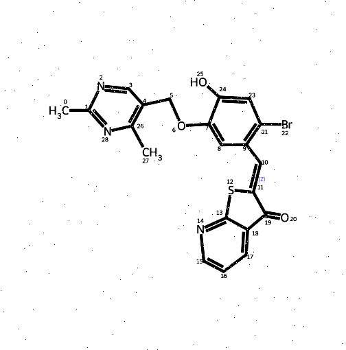 Cc1ncc(COc2cc(/C=C3\Sc4ncccc4C3=O)c(Br)cc2O)c(C)n1